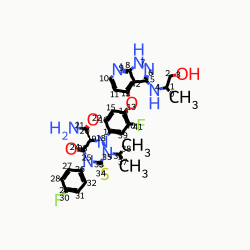 CC(CO)Nc1n[nH]c2nccc(Oc3ccc(N4[C@H](C(N)=O)C(=O)N(c5ccc(F)cc5)C(=S)N4C(C)C)cc3F)c12